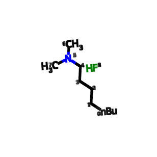 CCCCCCCCN(C)C.F